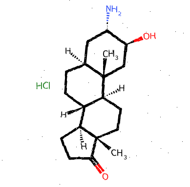 C[C@]12C[C@H](O)[C@@H](N)C[C@@H]1CC[C@@H]1[C@@H]2CC[C@]2(C)C(=O)CC[C@@H]12.Cl